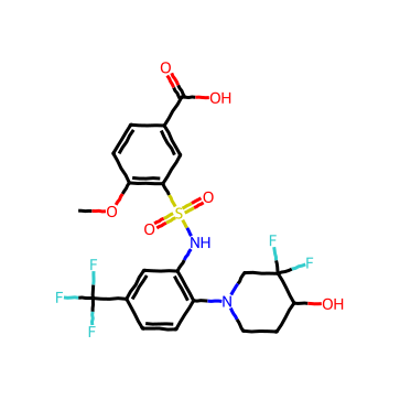 COc1ccc(C(=O)O)cc1S(=O)(=O)Nc1cc(C(F)(F)F)ccc1N1CCC(O)C(F)(F)C1